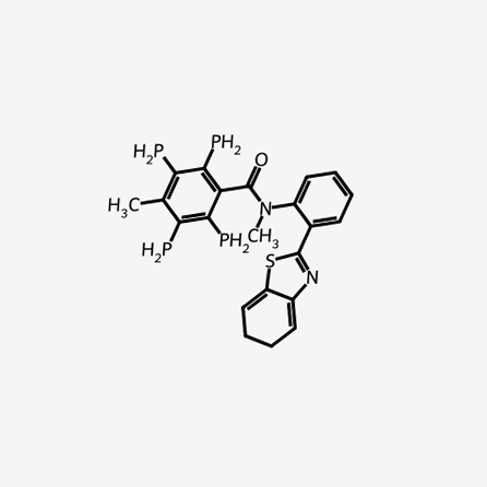 Cc1c(P)c(P)c(C(=O)N(C)c2ccccc2-c2nc3c(s2)=CCCC=3)c(P)c1P